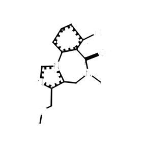 COCc1ncn2c1CN(C)C(=O)c1c(Cl)cccc1-2